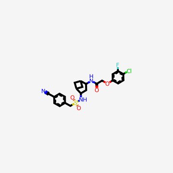 N#Cc1ccc(CS(=O)(=O)NC2CC(NC(=O)COc3ccc(Cl)c(F)c3)C3CC2C3)cc1